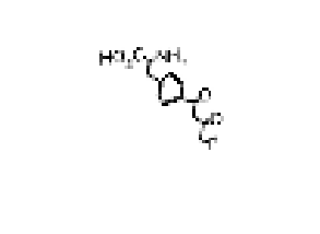 NC(Cc1ccc(C(=O)CC(=O)CF)cc1)C(=O)O